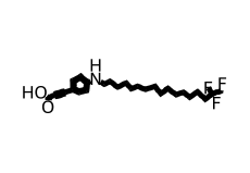 O=C(O)C#Cc1ccc(NCCCCCCCCCCCCCCCC(F)(F)CF)cc1